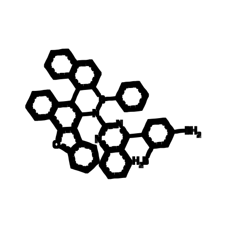 Bc1ccc(-c2nc(N3B(c4ccccc4)c4ccc5ccccc5c4-c4c3c3c5ccccc5oc3c3ccccc43)nc3ccccc23)c(B)c1